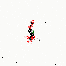 COC1(c2ccc(Cl)c(Cc3ccc(OCCOC4CCOC4)cc3)c2)CC(O)C[C@@H](CO)O1